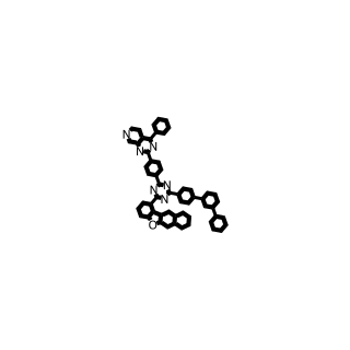 c1ccc(-c2cccc(-c3ccc(-c4nc(-c5ccc(-c6nc(-c7ccccc7)c7ccncc7n6)cc5)nc(-c5cccc6oc7cc8ccccc8cc7c56)n4)cc3)c2)cc1